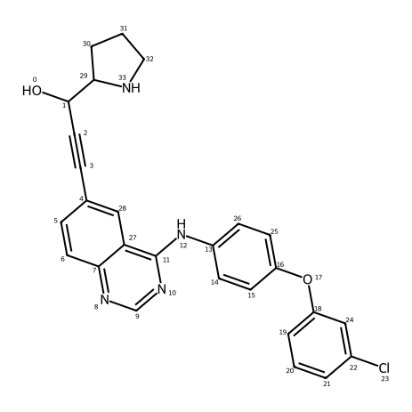 OC(C#Cc1ccc2ncnc(Nc3ccc(Oc4cccc(Cl)c4)cc3)c2c1)C1CCCN1